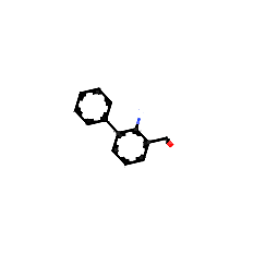 Nc1c([C]=O)cccc1-c1ccccc1